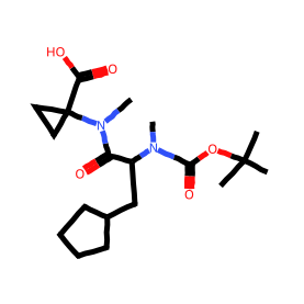 CN(C(=O)OC(C)(C)C)C(CC1CCCC1)C(=O)N(C)C1(C(=O)O)CC1